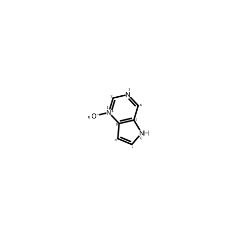 [O-][n+]1cncc2[nH]ccc21